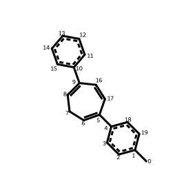 Cc1ccc(C2=CCC=C(c3ccccc3)C=C2)cc1